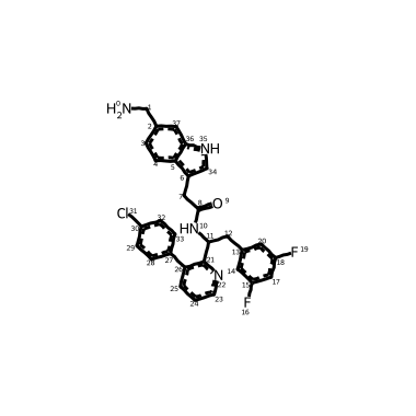 NCc1ccc2c(CC(=O)NC(Cc3cc(F)cc(F)c3)c3ncccc3-c3ccc(Cl)cc3)c[nH]c2c1